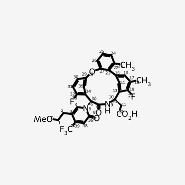 COCCc1cn([C@@H]2C(=O)N[C@H](CC(=O)O)c3cc(cc(C)c3F)-c3c(C)cccc3Oc3ccc(F)c2c3)c(=O)cc1C(F)(F)F